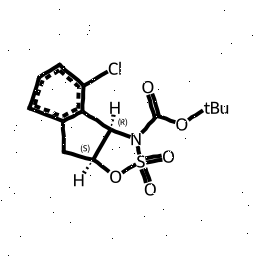 CC(C)(C)OC(=O)N1[C@@H]2c3c(Cl)cccc3C[C@@H]2OS1(=O)=O